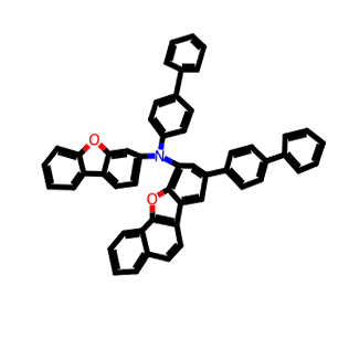 c1ccc(-c2ccc(-c3cc(N(c4ccc(-c5ccccc5)cc4)c4ccc5c(c4)oc4ccccc45)c4oc5c6ccccc6ccc5c4c3)cc2)cc1